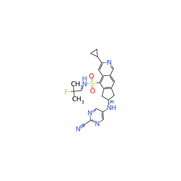 CC(C)(F)CNS(=O)(=O)c1c2c(cc3cnc(C4CC4)cc13)C[C@@H](Nc1cnc(C#N)nc1)C2